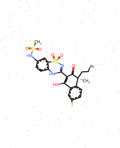 CC(C)CC[C@]1(C)C(=O)C(C2=NS(=O)(=O)c3cc(NS(C)(=O)=O)ccc3N2)=C(O)c2cc(F)ccc21